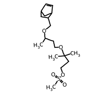 CC(CCOC(C)(C)CCOS(C)(=O)=O)OCC1CC2C=CC1C2